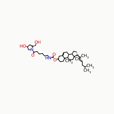 CC(C)CCC[C@@H](C)[C@H]1CCC2C3CC=C4C[C@@H](OC(=O)NCCCCCC(=O)N5CC(O)C[C@H]5CO)CCC4(C)C3CCC21C